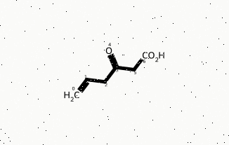 C=CCC(=O)CC(=O)O